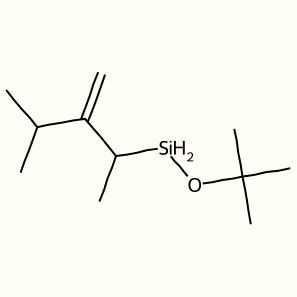 C=C(C(C)C)C(C)[SiH2]OC(C)(C)C